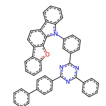 c1ccc(-c2ccc(-c3nc(-c4ccccc4)nc(-c4cccc(-n5c6ccccc6c6ccc7c8ccccc8oc7c65)c4)n3)cc2)cc1